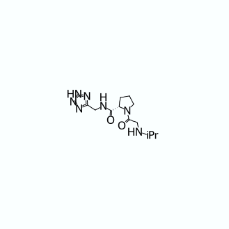 CC(C)NCC(=O)N1CCC[C@H]1C(=O)NCc1nn[nH]n1